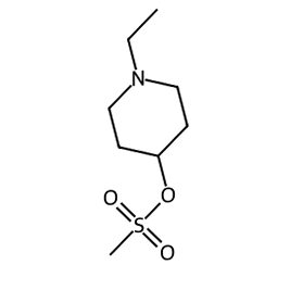 CCN1CCC(OS(C)(=O)=O)CC1